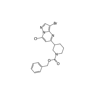 O=C(OCc1ccccc1)N1CCCC(c2cc(Cl)n3ncc(Br)c3n2)C1